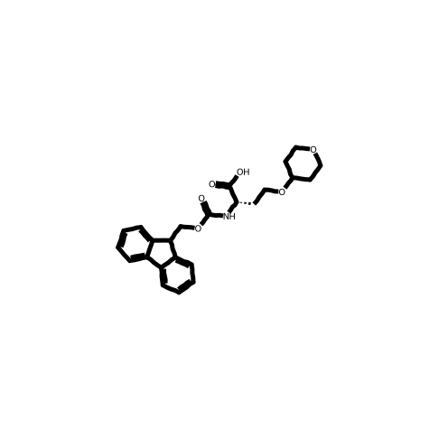 O=C(N[C@@H](CCOC1CCOCC1)C(=O)O)OCC1c2ccccc2-c2ccccc21